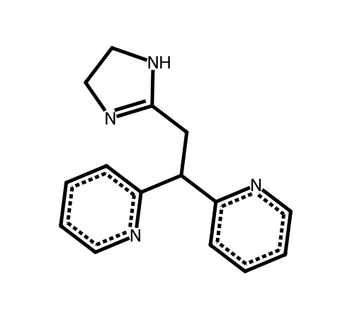 c1ccc(C(CC2=NCCN2)c2ccccn2)nc1